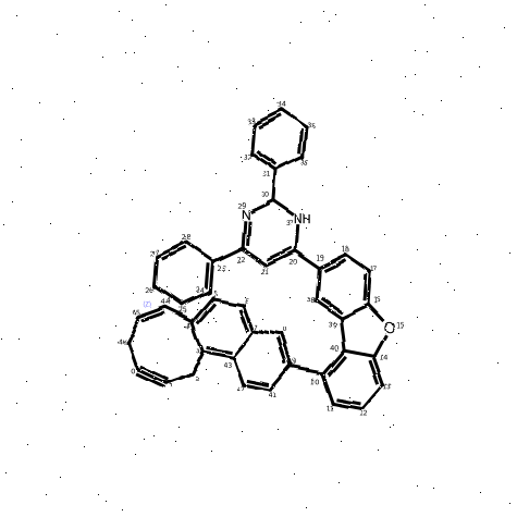 C1#CCc2c(ccc3cc(-c4cccc5oc6ccc(C7=CC(C8=CCCC=C8)=NC(c8ccccc8)N7)cc6c45)ccc23)/C=C\C1